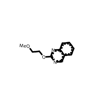 COCCOc1n[c]c2ccccc2n1